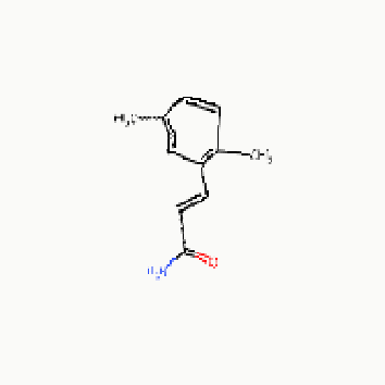 Cc1ccc(C)c(C=CC(N)=O)c1